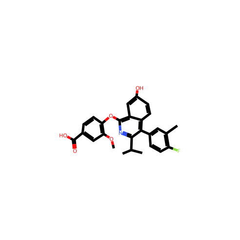 COc1cc(C(=O)O)ccc1Oc1nc(C(C)C)c(-c2ccc(F)c(C)c2)c2ccc(O)cc12